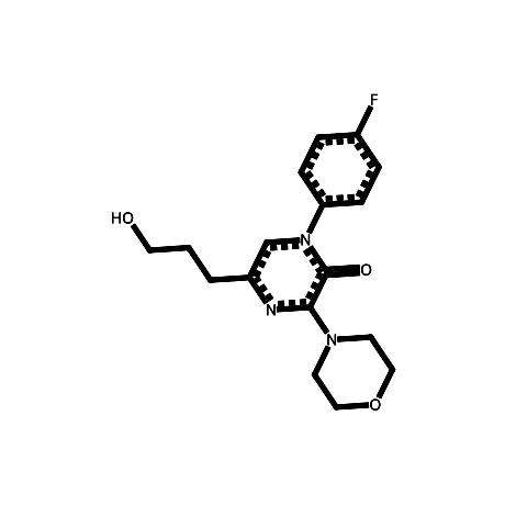 O=c1c(N2CCOCC2)nc(CCCO)cn1-c1ccc(F)cc1